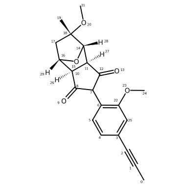 CC#Cc1ccc(C2C(=O)[C@@H]3[C@H](C2=O)[C@@H]2O[C@H]3C[C@]2(C)OC)c(OC)c1